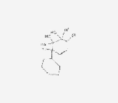 OC1CCC(O)(C2CCCCC2)C(O)(O)C1(O)O